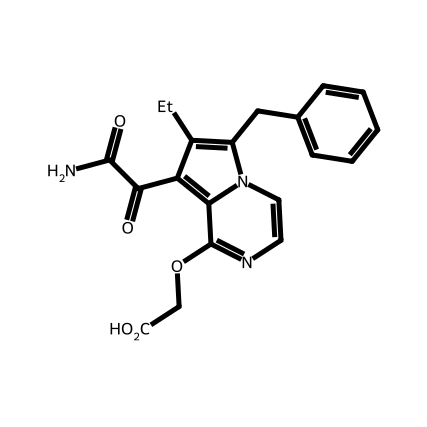 CCc1c(C(=O)C(N)=O)c2c(OCC(=O)O)nccn2c1Cc1ccccc1